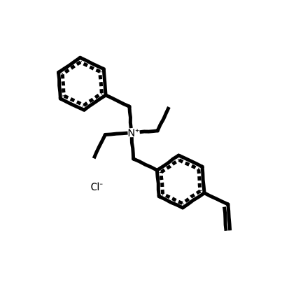 C=Cc1ccc(C[N+](CC)(CC)Cc2ccccc2)cc1.[Cl-]